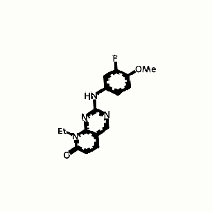 CCn1c(=O)ccc2cnc(Nc3ccc(OC)c(F)c3)nc21